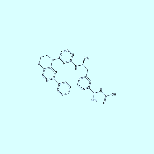 C[C@@H](Cc1cccc([C@@H](C)NC(=O)O)c1)Nc1nccc(N2CCOc3cnc(-c4ccccc4)nc32)n1